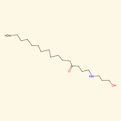 CCCCCCCCCCCCCCCCCCCCCC(=O)CCCNCCCO